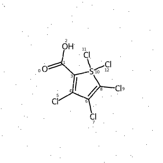 O=C(O)C1=C(Cl)C(Cl)=C(Cl)S1(Cl)Cl